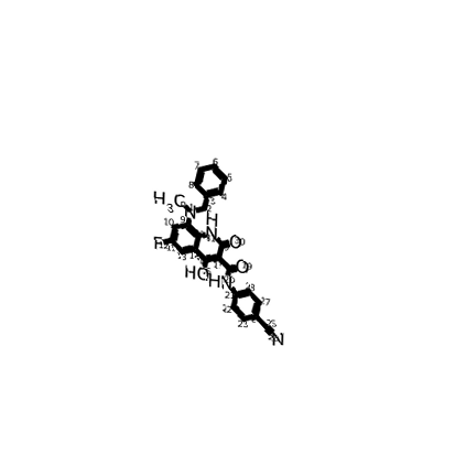 CN(Cc1ccccc1)c1cc(F)cc2c(O)c(C(=O)Nc3ccc(C#N)cc3)c(=O)[nH]c12